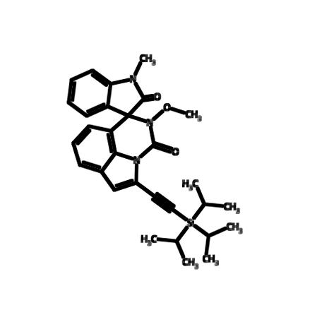 CON1C(=O)n2c(C#C[Si](C(C)C)(C(C)C)C(C)C)cc3cccc(c32)C12C(=O)N(C)c1ccccc12